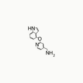 NCc1ccnc(Oc2cccc3[nH]ccc23)c1